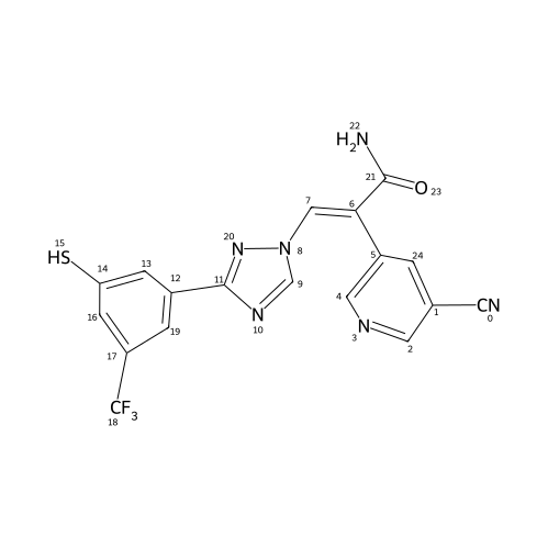 N#Cc1cncc(/C(=C\n2cnc(-c3cc(S)cc(C(F)(F)F)c3)n2)C(N)=O)c1